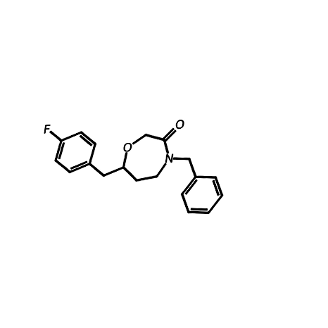 O=C1COC(Cc2ccc(F)cc2)CCN1Cc1ccccc1